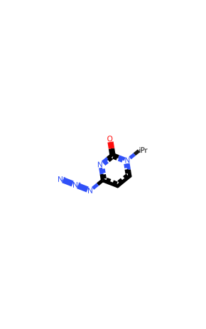 CC(C)n1ccc(N=[N+]=[N-])nc1=O